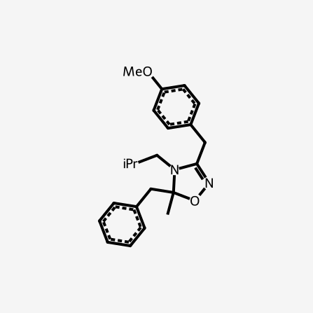 COc1ccc(CC2=NOC(C)(Cc3ccccc3)N2CC(C)C)cc1